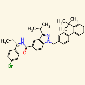 CC[C@H](NC(=O)c1ccc2c(c1)c(C(C)C)nn2Cc1ccc(-c2ccccc2C(C)(C)C)cc1)c1ccc(Br)cc1